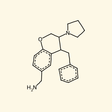 NCc1ccc2c(c1)C(Cc1ccccc1)C(N1CCCC1)CO2